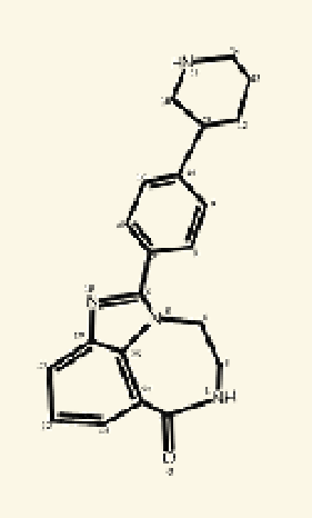 O=C1NCCn2c(-c3ccc(C4CCCNC4)cc3)nc3cccc1c32